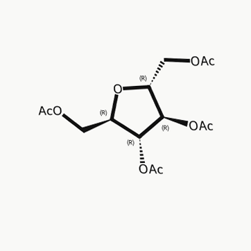 CC(=O)OC[C@H]1O[C@H](COC(C)=O)[C@@H](OC(C)=O)[C@@H]1OC(C)=O